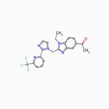 CCn1c(Cn2ccnc2-c2cccc(C(F)(F)F)n2)nc2cc(C(C)=O)ccc21